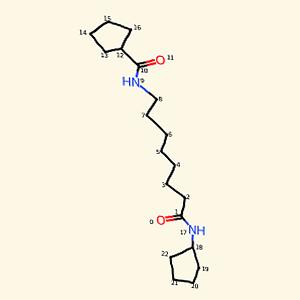 O=C(CCCCCCCNC(=O)C1CCCC1)NC1CCCC1